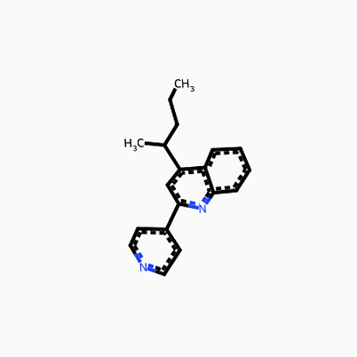 CCCC(C)c1cc(-c2ccncc2)nc2ccccc12